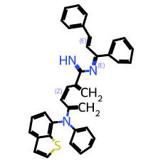 C=C(/C=C\C(=C)N(c1ccccc1)c1cccc2ccsc12)C(=N)/N=C(\C=C\c1ccccc1)c1ccccc1